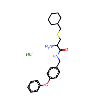 Cl.N[C@@H](CSCC1CCCCC1)C(=O)NCc1ccc(Oc2ccccc2)cc1